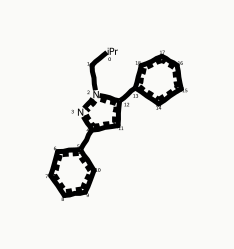 CC(C)Cn1nc(-c2ccccc2)cc1-c1ccccc1